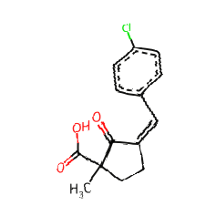 CC1(C(=O)O)CCC(=Cc2ccc(Cl)cc2)C1=O